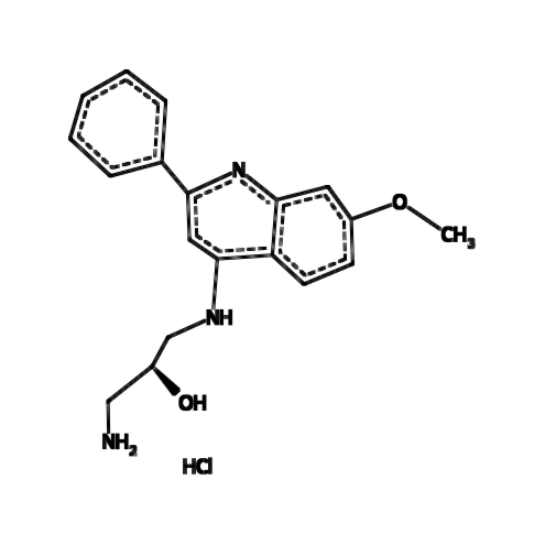 COc1ccc2c(NC[C@@H](O)CN)cc(-c3ccccc3)nc2c1.Cl